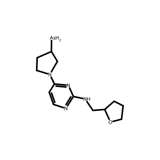 [AsH2]C1CCN(c2ccnc(NCC3CCCO3)n2)C1